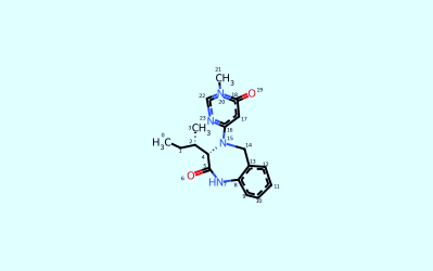 CC[C@H](C)[C@H]1C(=O)Nc2ccccc2CN1c1cc(=O)n(C)cn1